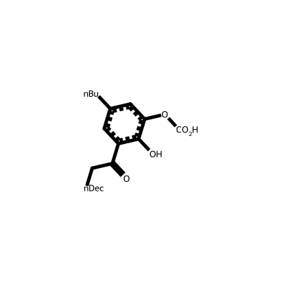 CCCCCCCCCCCC(=O)c1cc(CCCC)cc(OC(=O)O)c1O